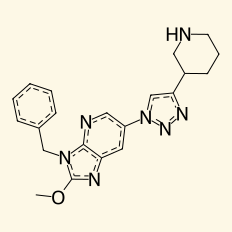 COc1nc2cc(-n3cc(C4CCCNC4)nn3)cnc2n1Cc1ccccc1